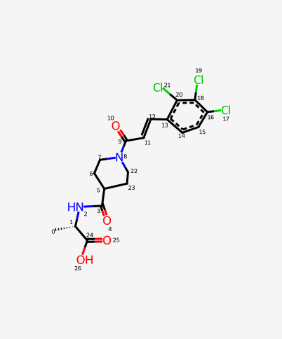 C[C@H](NC(=O)C1CCN(C(=O)/C=C/c2ccc(Cl)c(Cl)c2Cl)CC1)C(=O)O